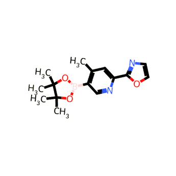 Cc1cc(-c2ncco2)ncc1B1OC(C)(C)C(C)(C)O1